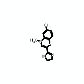 Cc1ccc2c(c1)N(C)C=C(C1=NCCN1)S2